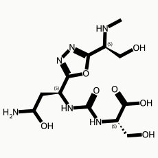 CN[C@@H](CO)c1nnc([C@H](CC(N)O)NC(=O)N[C@@H](CO)C(=O)O)o1